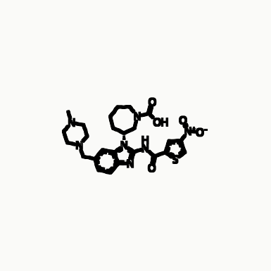 CN1CCN(Cc2ccc3nc(NC(=O)c4cc([N+](=O)[O-])cs4)n([C@@H]4CCCCN(C(=O)O)C4)c3c2)CC1